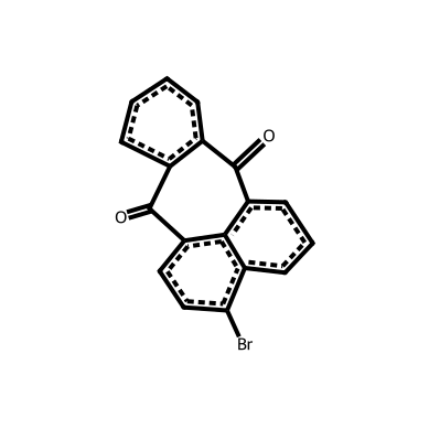 O=C1c2ccccc2C(=O)c2ccc(Br)c3cccc1c23